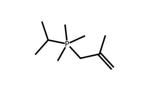 C=C(C)CP(C)(C)(C)C(C)C